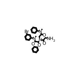 CN(C(=O)CN(C(=O)CN)C(Oc1ccccc1)C(=O)N(C)c1cccc(Br)c1)c1ccccc1